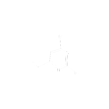 CCc1cc(Br)nc(Br)n1